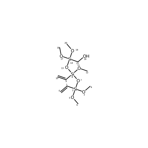 C=C[Si](OC)(OC)O[Si](C=C)(OC)O[Si](CO)(OC)OC